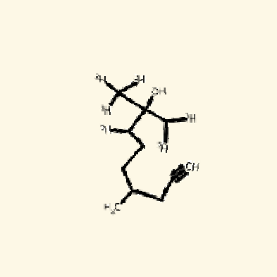 [2H]C([2H])C(O)(C([2H])CCC(C)CC#C)C([2H])([2H])[2H]